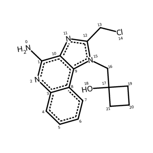 Nc1nc2ccccc2c2c1nc(CCl)n2CC1(O)CCC1